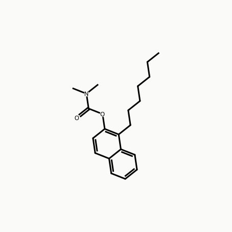 CCCCCCCc1c(OC(=O)N(C)C)ccc2ccccc12